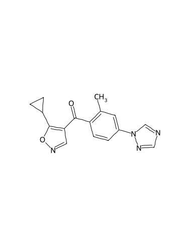 Cc1cc(-n2cncn2)ccc1C(=O)c1cnoc1C1CC1